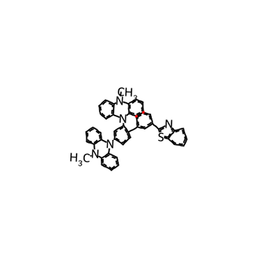 CN1c2ccccc2N(c2ccc(-c3cccc(-c4nc5ccccc5s4)c3)c(N3c4ccccc4N(C)c4ccccc43)c2)c2ccccc21